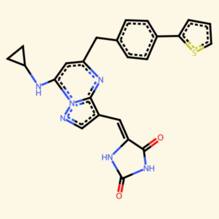 O=C1NC(=O)/C(=C/c2cnn3c(NC4CC4)cc(Cc4ccc(-c5cccs5)cc4)nc23)N1